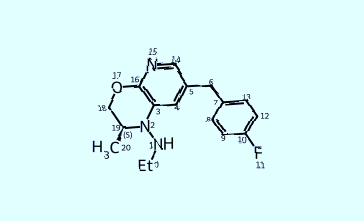 CCNN1c2cc(Cc3ccc(F)cc3)cnc2OC[C@@H]1C